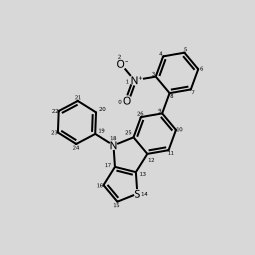 O=[N+]([O-])c1ccccc1-c1ccc2c3sccc3n(-c3ccccc3)c2c1